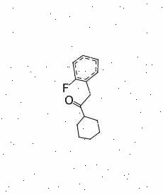 O=C(Cc1ccccc1F)C1CCCCC1